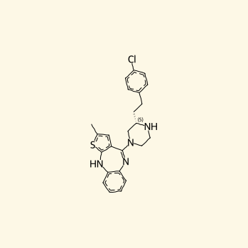 Cc1cc2c(s1)Nc1ccccc1N=C2N1CCN[C@@H](CCc2ccc(Cl)cc2)C1